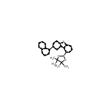 CC1(C)OB(c2cccc3sc4ccc(-c5cccc6ccccc56)cc4c23)OC1(C)C